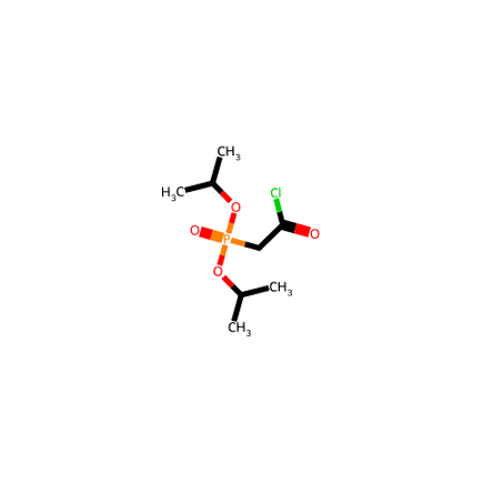 CC(C)OP(=O)(CC(=O)Cl)OC(C)C